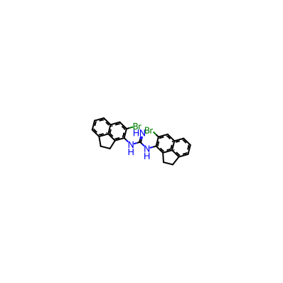 N=C(Nc1c(Br)cc2cccc3c2c1CC3)Nc1c(Br)cc2cccc3c2c1CC3